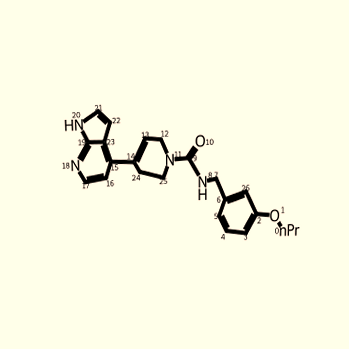 CCCOc1cccc(CNC(=O)N2CC=C(c3ccnc4[nH]ccc34)CC2)c1